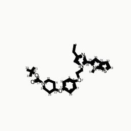 CCc1cn(CCOc2ccc(OC3CCN(C(=O)OC(C)(C)C)CC3)cc2)c(-c2cc3ccsc3n2C)n1